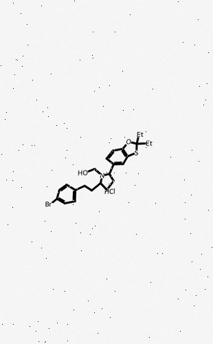 CCC1(CC)Oc2ccc(C3CCC(CCc4ccc(Br)cc4)N3CO)cc2S1.Cl